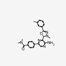 Cc1cccc(C2=NN(C)C(c3nc(-c4ccc(C(=O)N(C)C)cc4)cnc3N)O2)c1